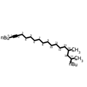 [CH2]CCCC#CCCCCCCCCCCCC(C)CC(C)CCC[CH2]